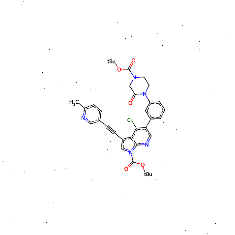 Cc1ccc(C#Cc2cn(C(=O)OC(C)(C)C)c3ncc(-c4cccc(N5CCN(C(=O)OC(C)(C)C)CC5=O)c4)c(Cl)c23)cn1